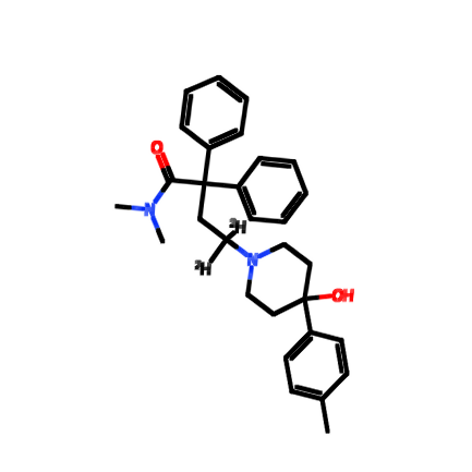 [2H]C([2H])(CC(C(=O)N(C)C)(c1ccccc1)c1ccccc1)N1CCC(O)(c2ccc(C)cc2)CC1